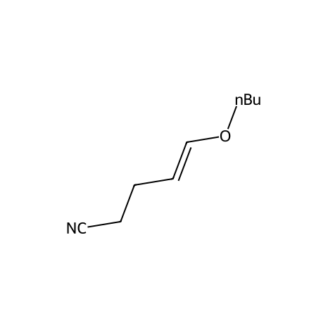 CCCCOC=CCCC#N